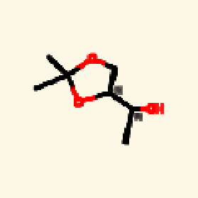 C[C@H](O)[C@@H]1COC(C)(C)O1